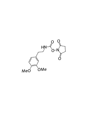 COc1ccc(CCNC(=O)ON2C(=O)CCC2=O)cc1OC